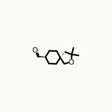 CC1(C)C[C@]2(CC[C@H](C=O)CC2)CO1